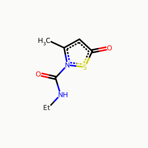 CCNC(=O)n1sc(=O)cc1C